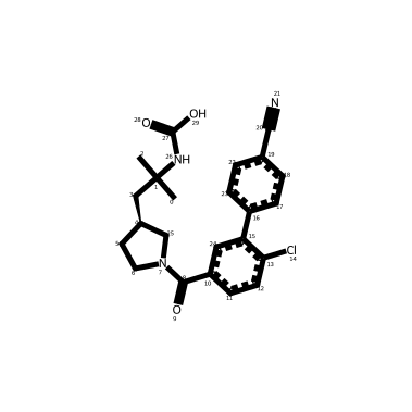 CC(C)(C[C@@H]1CCN(C(=O)c2ccc(Cl)c(-c3ccc(C#N)cc3)c2)C1)NC(=O)O